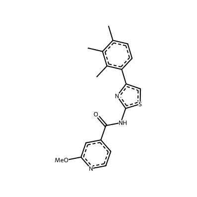 COc1cc(C(=O)Nc2nc(-c3ccc(C)c(C)c3C)cs2)ccn1